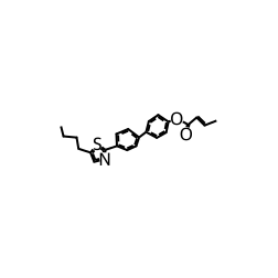 CC=CC(=O)Oc1ccc(-c2ccc(-c3ncc(CCCC)s3)cc2)cc1